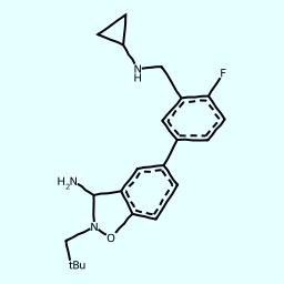 CC(C)(C)CN1Oc2ccc(-c3ccc(F)c(CNC4CC4)c3)cc2C1N